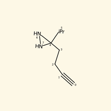 C#CCCC1(C(C)C)NN1